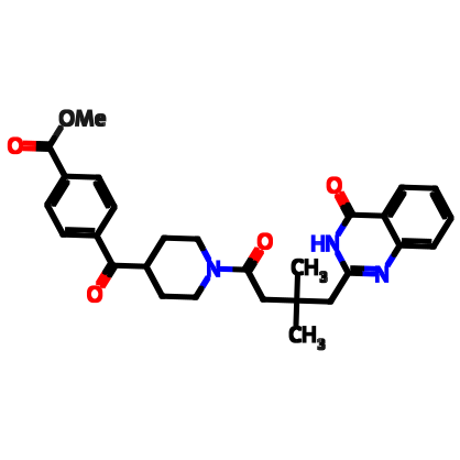 COC(=O)c1ccc(C(=O)C2CCN(C(=O)CC(C)(C)Cc3nc4ccccc4c(=O)[nH]3)CC2)cc1